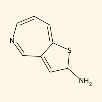 NC1C=C2C=NC=CC=C2S1